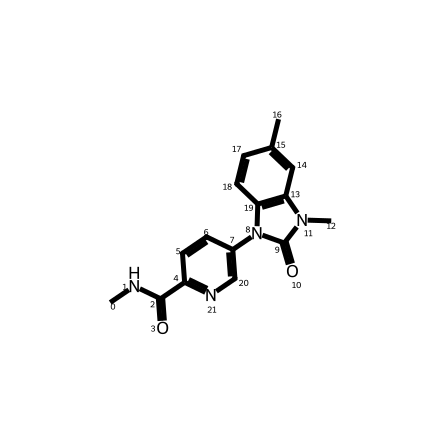 CNC(=O)c1ccc(-n2c(=O)n(C)c3cc(C)ccc32)cn1